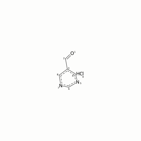 Cl.O=Cc1cncnc1